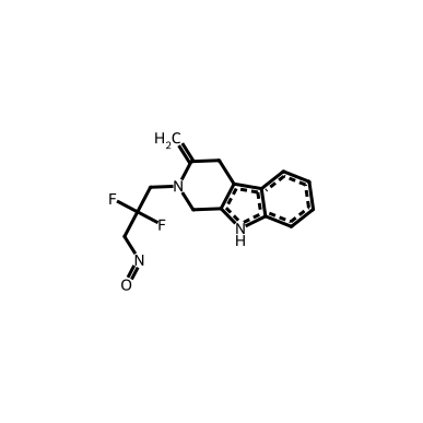 C=C1Cc2c([nH]c3ccccc23)CN1CC(F)(F)CN=O